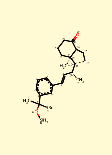 C[C@H](C=Cc1cccc(C(C)(O[SiH3])C(C)(C)C)c1)[C@H]1CCC2C(=O)CCC[C@@]21C